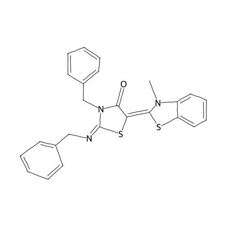 CN1C(=C2SC(=NCc3ccccc3)N(Cc3ccccc3)C2=O)Sc2ccccc21